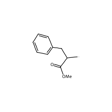 [CH2]C(Cc1ccccc1)C(=O)OC